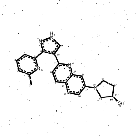 Cc1cccc(-c2n[nH]cc2-c2ccc3ncc(N4CC[C@@H](O)C4)cc3n2)n1